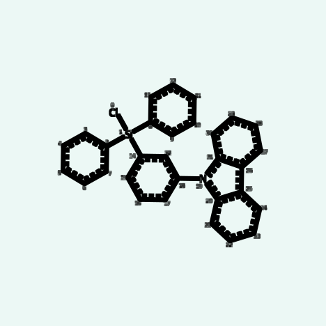 Cl[Si](c1ccccc1)(c1ccccc1)c1cccc(-n2c3ccccc3c3ccccc32)c1